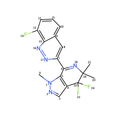 Cn1ncc2c1C(c1cc3cccc(F)c3nn1)=NC(C)(C)C2(F)F